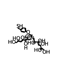 OC[C@@H](O)C(O)=C[C@H](O)[C@@H](O)CN(CCOc1ccc(CS)cc1)C[C@H](O)[C@@H](O)C(O)=C[C@H](O)CO